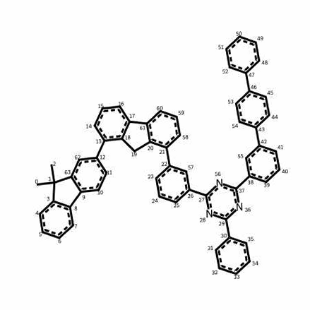 CC1(C)c2ccccc2-c2ccc(-c3cccc4c3Cc3c(-c5cccc(-c6nc(-c7ccccc7)nc(-c7cccc(-c8ccc(-c9ccccc9)cc8)c7)n6)c5)cccc3-4)cc21